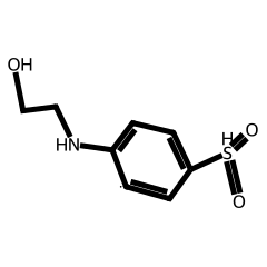 O=[SH](=O)c1c[c]c(NCCO)cc1